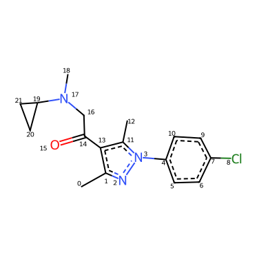 Cc1nn(-c2ccc(Cl)cc2)c(C)c1C(=O)CN(C)C1CC1